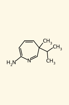 CC(C)C1(C)C=CC=C(N)N=C1